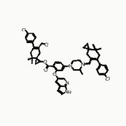 CC1CN(c2ccc(C(=O)OC3CC34CC(CCl)=C(c3ccc(Cl)cc3)CC4(C)C)c(Oc3cnc4[nH]ccc4c3)c2)CCN1CC1=C(c2ccc(Cl)cc2)CC(C)(C)C2(CC2)C1